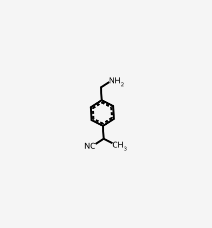 CC(C#N)c1ccc(CN)cc1